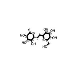 C[C@H]1O[C@H](CCC2O[C@H](CO)[C@@H](O)[C@H](O)[C@H]2O)[C@@H](O)[C@H](O)[C@H]1O